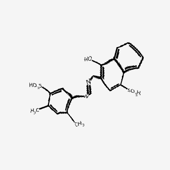 Cc1cc(C)c(S(=O)(=O)O)cc1/N=N/c1cc(S(=O)(=O)O)c2ccccc2c1O